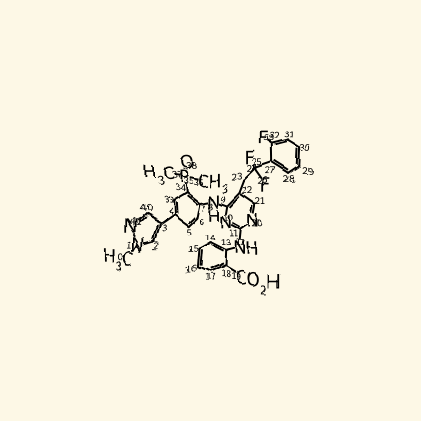 Cn1cc(-c2ccc(Nc3nc(Nc4ccccc4C(=O)O)ncc3CC(F)(F)c3ccccc3F)c(P(C)(C)=O)c2)cn1